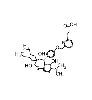 CCCCC1(CCCC)[C@H](O)[C@H](c2ccc(OCc3cccc(CCC(=O)O)n3)cc2)c2c(ccc(N(C)C)c2O)S[C@@H]1O